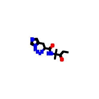 CCC(=O)C(C)(C)NC(=O)C(N)Cc1cnc[nH]1